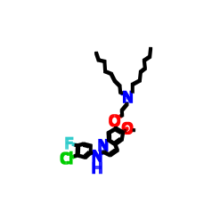 CCCCCCCCN(CCCCCCCC)CCCOc1cc2nc(Nc3ccc(F)c(Cl)c3)ccc2cc1OC